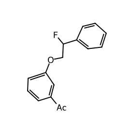 CC(=O)c1cccc(OCC(F)c2ccccc2)c1